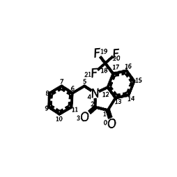 O=C1C(=O)N(Cc2ccccc2)c2c1cccc2C(F)(F)F